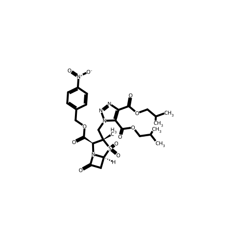 CC(C)COC(=O)c1nnn(C[C@@]2(C)[C@H](C(=O)OCc3ccc([N+](=O)[O-])cc3)N3C(=O)C[C@@H]3S2(=O)=O)c1C(=O)OCC(C)C